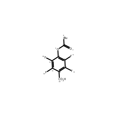 CCC(C)C(=O)Oc1c(F)c(F)c(C(=O)O)c(F)c1F